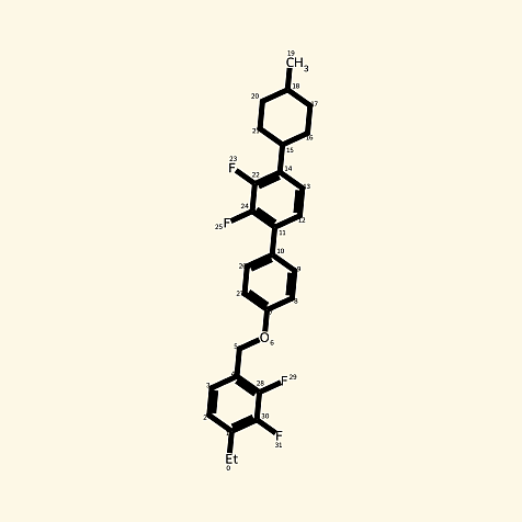 CCc1ccc(COc2ccc(-c3ccc(C4CCC(C)CC4)c(F)c3F)cc2)c(F)c1F